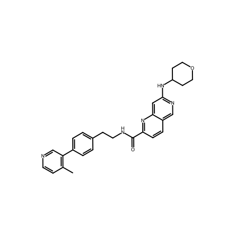 Cc1ccncc1-c1ccc(CCNC(=O)c2ccc3cnc(NC4CCOCC4)cc3n2)cc1